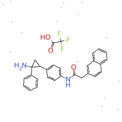 NC1(c2ccccc2)CC1c1ccc(NC(=O)Cc2ccc3ccccc3c2)cc1.O=C(O)C(F)(F)F